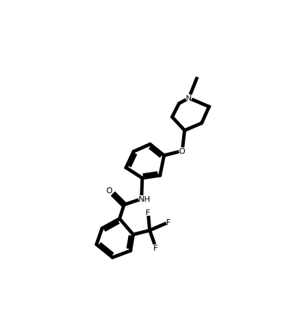 CN1CCC(Oc2cccc(NC(=O)c3ccccc3C(F)(F)F)c2)CC1